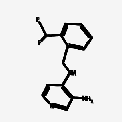 Nc1cnccc1NCc1ccccc1C(F)F